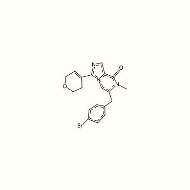 Cn1c(Cc2ccc(Br)cc2)cn2c(C3=CCOCC3)ncc2c1=O